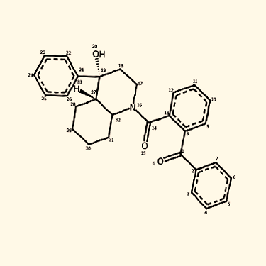 O=C(c1ccccc1)c1ccccc1C(=O)N1CC[C@](O)(c2ccccc2)[C@H]2CCCCC21